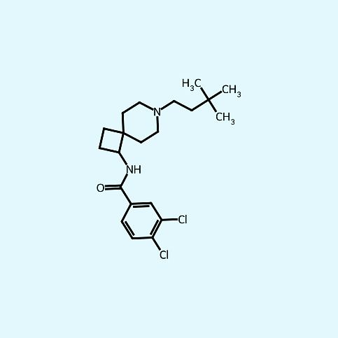 CC(C)(C)CCN1CCC2(CCC2NC(=O)c2ccc(Cl)c(Cl)c2)CC1